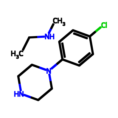 CCNC.Clc1ccc(N2CCNCC2)cc1